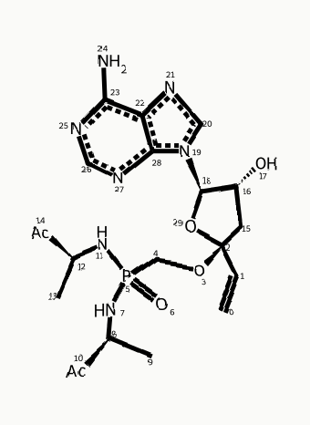 C=C[C@@]1(OCP(=O)(N[C@@H](C)C(C)=O)N[C@@H](C)C(C)=O)C[C@@H](O)[C@H](n2cnc3c(N)ncnc32)O1